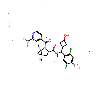 O=C(N[C@@H](c1cc(F)c(C(F)(F)F)cc1F)C1CC(O)C1)[C@H]1C[C@H]2C[C@H]2N1C(=O)c1ccnc(C(F)F)c1